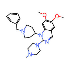 COc1cc2c(cc1OC)N(C1CCN(Cc3ccccc3)CC1)C(N1CCN(C)CC1)N=C2